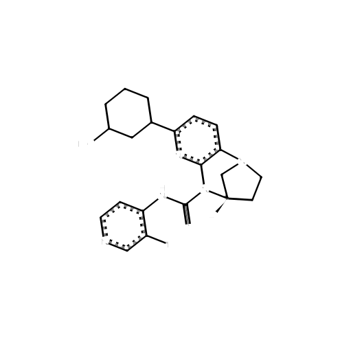 O=C(Nc1ccncc1F)N1c2nc(C3CCCC(C(F)(F)F)C3)ccc2N2CC[C@H]1C2